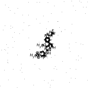 [2H]c1cc(-c2ccc3nnn(CC(F)(F)F)c3c2)c2c(OC)nc(N[C@@H]3CCN(S(C)(=O)=O)CC3(F)F)nn12